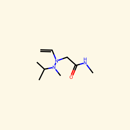 C=CN(CC(=O)NC)N(C)C(C)C